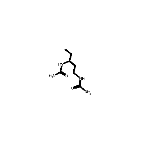 [CH2]CC(CCNC(N)=O)NC(N)=O